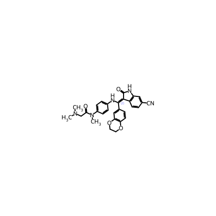 CN(C)CC(=O)N(C)c1ccc(N/C(=C2\C(=O)Nc3cc(C#N)ccc32)c2ccc3c(c2)OCCO3)cc1